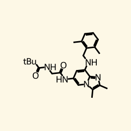 Cc1cccc(C)c1CNc1cc(NC(=O)CNC(=O)C(C)(C)C)cn2c(C)c(C)nc12